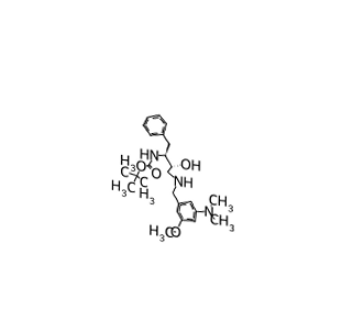 COc1cc(CNC[C@@H](O)[C@H](Cc2ccccc2)NC(=O)OC(C)(C)C)cc(N(C)C)c1